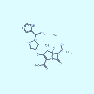 CC(c1cnc[nH]1)[C@H]1C[C@H](SC2=C(C(=O)O)N3C(=O)[C@H]([C@@H](C)O)[C@H]3[C@H]2C)CN1.Cl